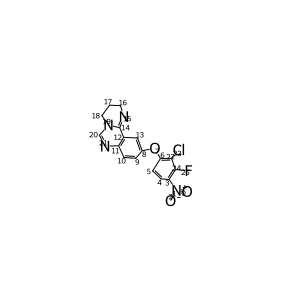 O=[N+]([O-])c1ccc(Oc2ccc3c(c2)C2=NCCCN2C=N3)c(Cl)c1F